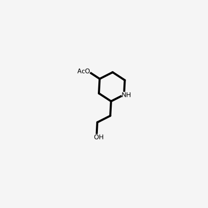 CC(=O)OC1CCNC(CCO)C1